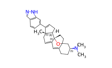 CN(C)[C@H]1CCC2=CC3=CC[C@]4(C)C(c5ccc6cn[nH]c6c5)=CC[C@H]4[C@@]34CCC2(C1)O4